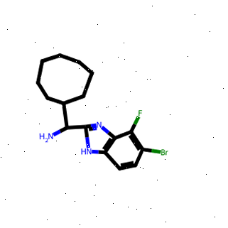 NC(c1nc2c(F)c(Br)ccc2[nH]1)C1CCCCCCC1